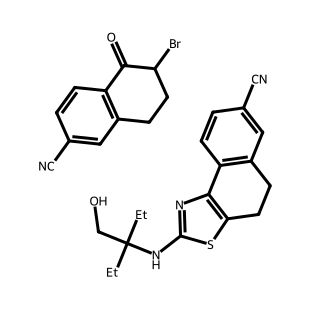 CCC(CC)(CO)Nc1nc2c(s1)CCc1cc(C#N)ccc1-2.N#Cc1ccc2c(c1)CCC(Br)C2=O